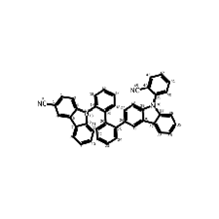 N#Cc1ccc2c(c1)c1ccccc1n2-c1ccccc1-c1ccccc1-c1ccc2c(c1)c1ccccc1n2-c1ccccc1C#N